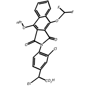 CCCOc1c2c(c(OC(F)F)c3ccccc13)C(=O)N(c1ccc(C(CC)C(=O)O)cc1Cl)C2=O